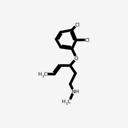 C/C=C/C(CCNC)Oc1cccc(Cl)c1Cl